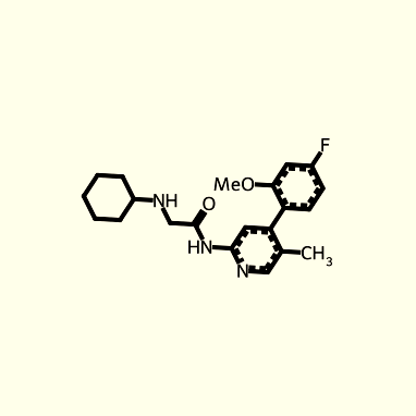 COc1cc(F)ccc1-c1cc(NC(=O)CNC2CCCCC2)ncc1C